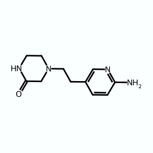 Nc1ccc(CCN2CCNC(=O)C2)cn1